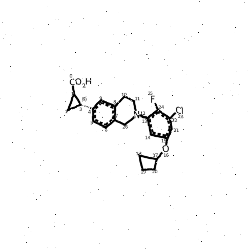 O=C(O)C1C[C@H]1c1ccc2c(c1)CCN(c1cc(OC3CCC3)cc(Cl)c1F)C2